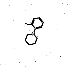 Fc1ccccc1N1CCCCC1